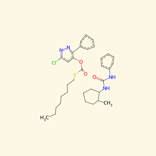 CC1CCCCC1NC(=O)Nc1ccccc1.CCCCCCCCSC(=O)Oc1cc(Cl)nnc1-c1ccccc1